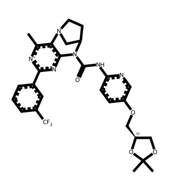 Cc1nc(-c2cccc(C(F)(F)F)c2)nc2c1N1CCC(C1)N2C(=O)Nc1ccc(OC[C@H]2COC(C)(C)O2)cn1